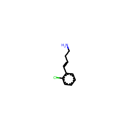 NCC/C=C/c1ccccc1Cl